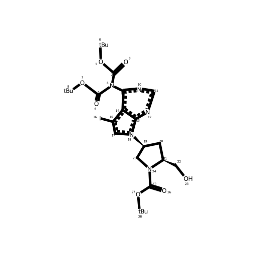 CC(C)(C)OC(=O)N(C(=O)OC(C)(C)C)c1ncnc2c1c(I)cn2[C@H]1C[C@@H](CO)N(C(=O)OC(C)(C)C)C1